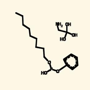 CCCCCCCCCOP(O)Oc1ccccc1.NCC(O)(O)O